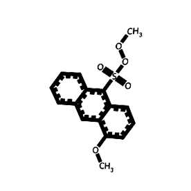 COOS(=O)(=O)c1c2ccccc2cc2c(OC)cccc12